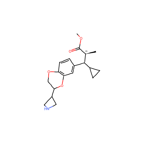 COC(=O)[C@@H](C)C(c1ccc2c(c1)OC(C1CNC1)CO2)C1CC1